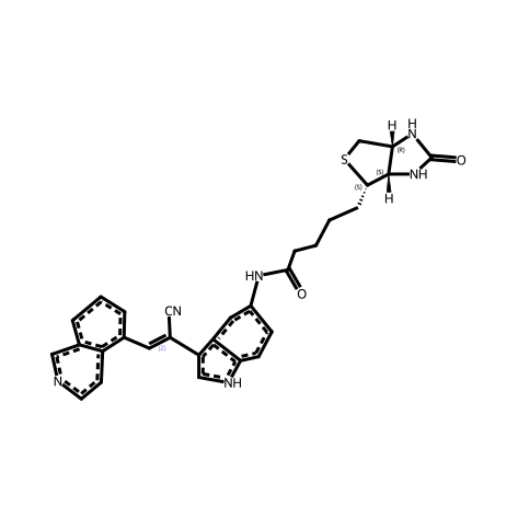 N#C/C(=C\c1cccc2cnccc12)c1c[nH]c2ccc(NC(=O)CCCC[C@@H]3SC[C@@H]4NC(=O)N[C@@H]43)cc12